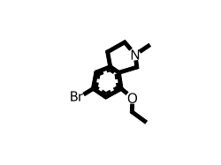 CCOc1cc(Br)cc2c1CN(C)CC2